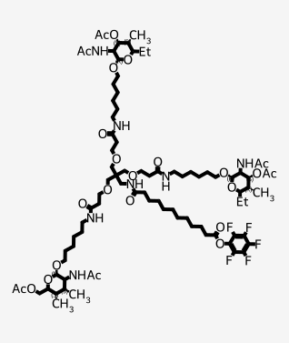 CCC1O[C@@H](OCCCCCCNC(=O)CCOCC(CNC(=O)CCCCCCCCCCC(=O)Oc2c(F)c(F)c(F)c(F)c2F)(COCCC(=O)NCCCCCCO[C@@H]2OC(COC(C)=O)[C@@H](C)[C@H](C)C2NC(C)=O)COCCC(=O)NCCCCCCO[C@@H]2OC(CC)[C@@H](C)[C@H](OC(C)=O)C2NC(C)=O)C(NC(C)=O)[C@@H](OC(C)=O)[C@@H]1C